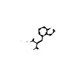 COC(=O)/C(=C\c1cccc2occc12)C(C)=O